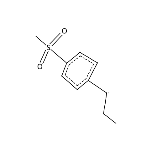 CC[CH]c1ccc(S(C)(=O)=O)cc1